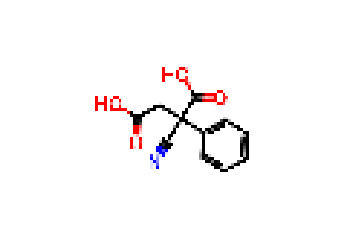 N#CC(CC(=O)O)(C(=O)O)c1ccccc1